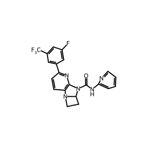 O=C(Nc1ccccn1)N1c2nc(-c3cc(F)cc(C(F)(F)F)c3)ccc2N2CCC21